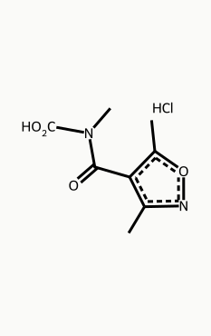 Cc1noc(C)c1C(=O)N(C)C(=O)O.Cl